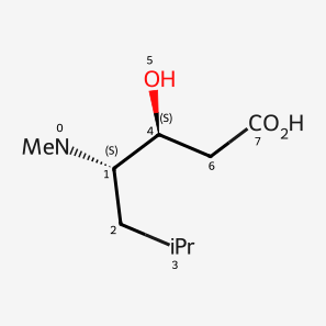 CN[C@@H](CC(C)C)[C@@H](O)CC(=O)O